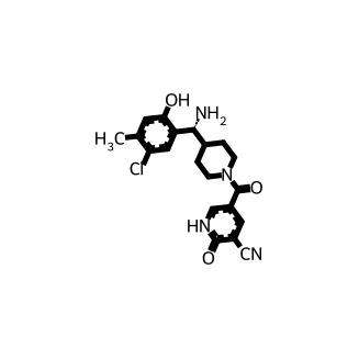 Cc1cc(O)c([C@H](N)C2CCN(C(=O)c3c[nH]c(=O)c(C#N)c3)CC2)cc1Cl